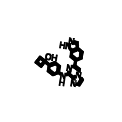 OC1(c2ccc(Nc3nc(-c4ccc5cn[nH]c5c4)cn4ccnc34)cc2)CCC1